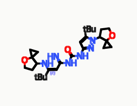 CC(C)(C)/C(=C/C(=N)NC(=O)Nc1cc(C(C)(C)C)n(C2CCOC23CC3)n1)NC1CCOC12CC2